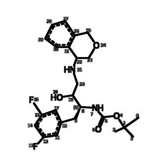 CC(C)(C)OC(=O)N[C@@H](Cc1cc(F)cc(F)c1)C(O)CNC1COCc2ccccc21